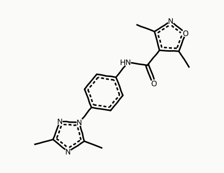 Cc1nc(C)n(-c2ccc(NC(=O)c3c(C)noc3C)cc2)n1